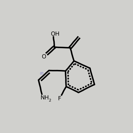 C=C(C(=O)O)c1cccc(F)c1/C=C\N